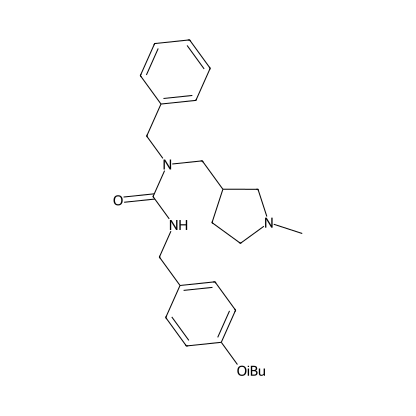 CC(C)COc1ccc(CNC(=O)N(Cc2ccccc2)CC2CCN(C)C2)cc1